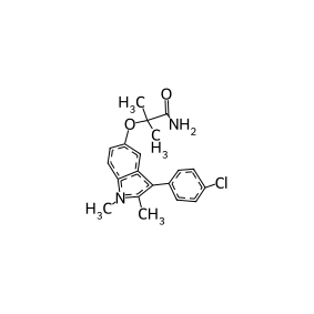 Cc1c(-c2ccc(Cl)cc2)c2cc(OC(C)(C)C(N)=O)ccc2n1C